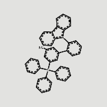 N#Cc1cc(-c2ccccc2-n2c3ccccc3c3ccccc32)cc([Si](c2ccccc2)(c2ccccc2)c2ccccc2)c1